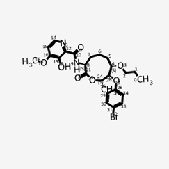 CCCO[C@H]1CCC[C@H](NC(=O)c2nccc(OC)c2O)C(=O)O[C@@H](C)[C@@H]1Oc1ccc(Br)cc1